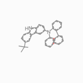 CC(C)(C)c1ccc2[nH]c3ccc(N(c4ccccc4)c4ccccc4-c4ccccc4)cc3c2c1